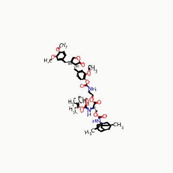 COc1ccc(C[C@H]2COC(=O)[C@@H]2Cc2ccc(OC(=O)NCCOC(=O)[C@H](COC(=O)NC34CC5CC(C)(CC(C)(C5)C3)C4)NC(=O)OC(C)(C)C)c(OC)c2)cc1OC